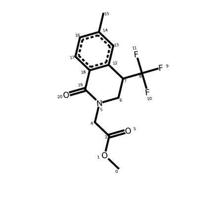 COC(=O)CN1CC(C(F)(F)F)c2cc(C)ccc2C1=O